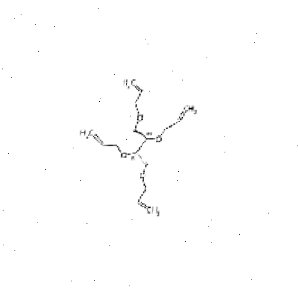 C=CCOC[C@H](OCC=C)[C@@H](COCC=C)OCC=C